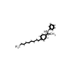 CCCCCCCCCc1ccc(C(C)Nc2ccccc2)cc1